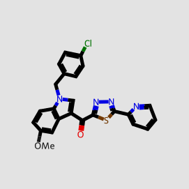 COc1ccc2c(c1)c(C(=O)c1nnc(-c3ccccn3)s1)cn2Cc1ccc(Cl)cc1